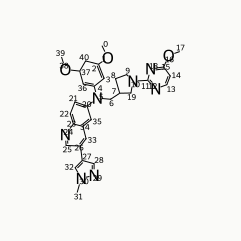 COC1=CC(N(CC2CCN(c3nccc(OC)n3)C2)c2ccc3ncc(-c4cnn(C)c4)cc3c2)=CC(OC)C1